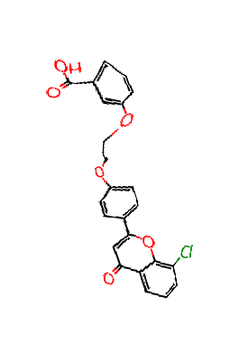 O=C(O)c1cccc(OCCOc2ccc(-c3cc(=O)c4cccc(Cl)c4o3)cc2)c1